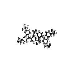 FC(F)(F)c1ccc2c(c1)c1cc(C(F)(F)F)ccc1n2-c1ccc(C(F)(F)F)c(-c2cc(-n3c4ccc(C(F)(F)F)cc4c4cc(C(F)(F)F)ccc43)ccc2C(F)(F)F)c1